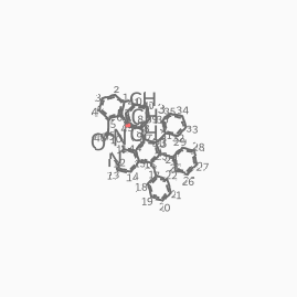 Cc1cccc2c1C(C)(C)N(c1nccc3c(-c4ccccc4)c(-c4ccccc4)c(-c4ccccc4)c(-c4ccccc4)c13)C2=O